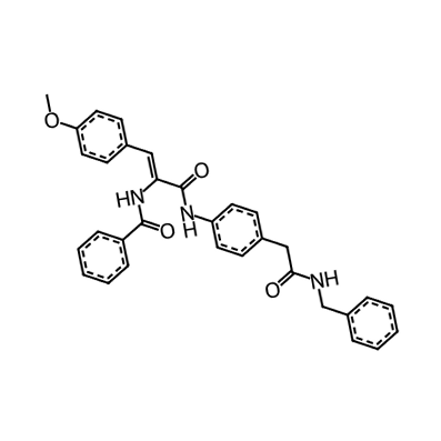 COc1ccc(C=C(NC(=O)c2ccccc2)C(=O)Nc2ccc(CC(=O)NCc3ccccc3)cc2)cc1